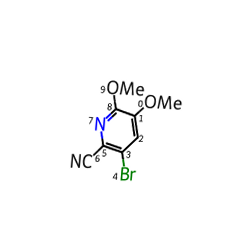 COc1cc(Br)c(C#N)nc1OC